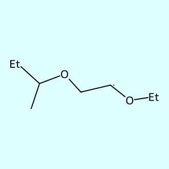 CCO[CH]COC(C)CC